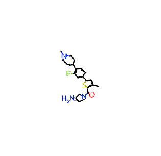 Cc1cc(-c2ccc(C3CCN(C)CC3)c(F)c2)sc1C(=O)N1CC[C@H](N)C1